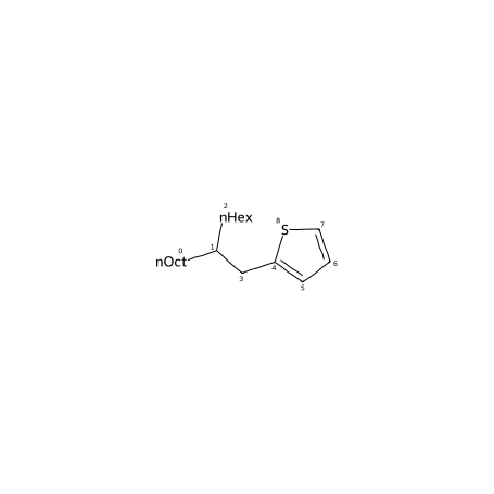 CCCCCCCCC(CCCCCC)Cc1cccs1